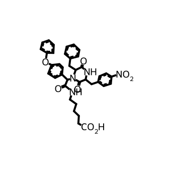 O=C(O)CCCCCNC(=O)C(c1ccc(Oc2ccccc2)cc1)N1C(=O)C(Cc2ccc([N+](=O)[O-])cc2)NC(=O)C1Cc1ccccc1